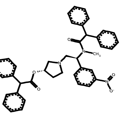 CN(C(=O)C(c1ccccc1)c1ccccc1)[C@H](CN1CC[C@H](OC(=O)C(c2ccccc2)c2ccccc2)C1)c1cccc([N+](=O)[O-])c1